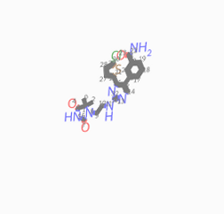 CC1(C)C(=O)NC(=O)N1CCNc1ncc(-c2cccc(C(N)=O)c2)c(-c2ccc(Cl)s2)n1